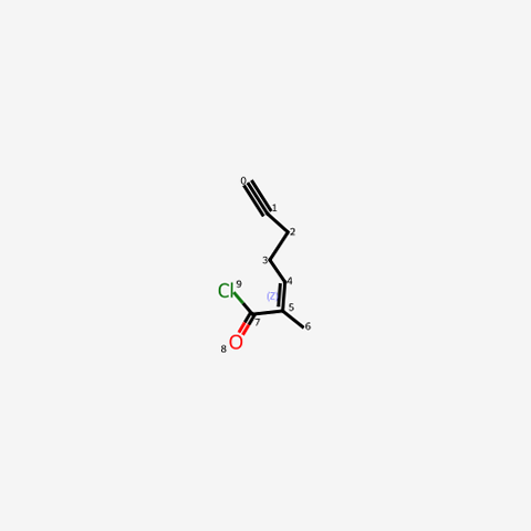 C#CCC/C=C(/C)C(=O)Cl